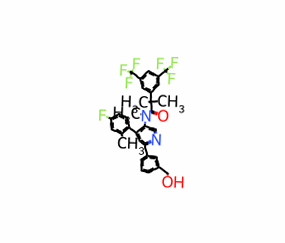 Cc1cc(F)ccc1-c1cc(-c2cccc(CO)c2)ncc1N(C)C(=O)C(C)(C)c1cc(C(F)(F)F)cc(C(F)(F)F)c1